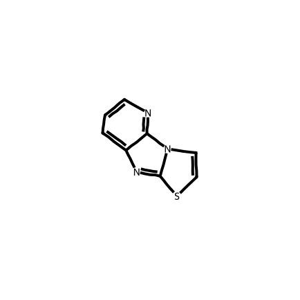 c1cnc2c(c1)nc1sccn12